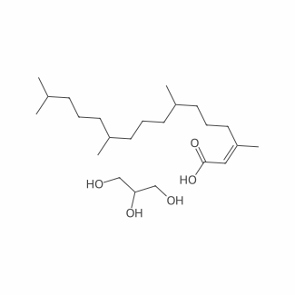 CC(=CC(=O)O)CCCC(C)CCCC(C)CCCC(C)C.OCC(O)CO